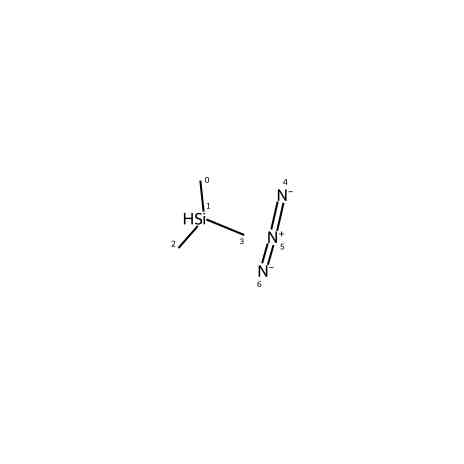 C[SiH](C)C.[N-]=[N+]=[N-]